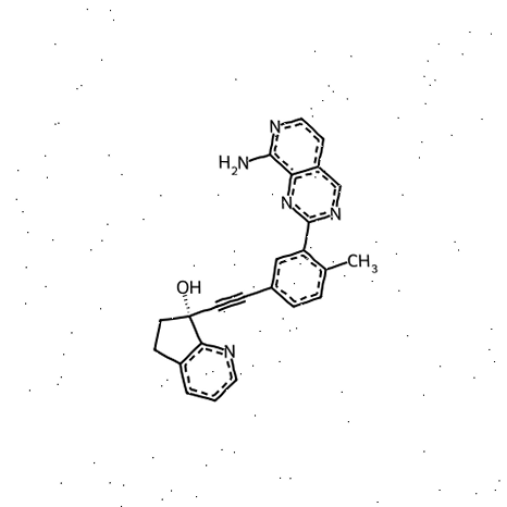 Cc1ccc(C#C[C@]2(O)CCc3cccnc32)cc1-c1ncc2ccnc(N)c2n1